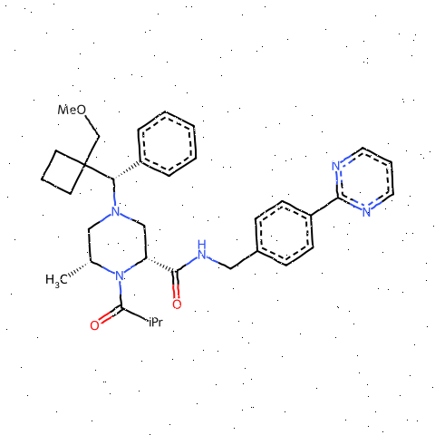 COCC1([C@H](c2ccccc2)N2C[C@@H](C)N(C(=O)C(C)C)[C@@H](C(=O)NCc3ccc(-c4ncccn4)cc3)C2)CCC1